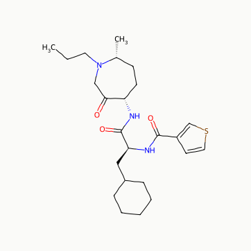 CCCN1CC(=O)[C@@H](NC(=O)[C@H](CC2CCCCC2)NC(=O)c2ccsc2)CC[C@H]1C